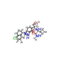 CCNC(=O)C(NC(=O)C1(c2ccc3nc(CC(c4ccccc4Cl)C4(C)CC4)[nH]c3c2)CCOC1)C1CCC1